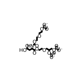 O=C(O)CC(NC(=O)OCCOCCO[N+](=O)[O-])C(=O)OCCOCC(CO[N+](=O)[O-])O[N+](=O)[O-]